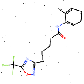 Cc1ccccc1NC(=O)CCCCc1noc(C(F)(F)F)n1